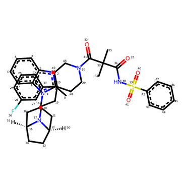 Cc1nc2ccccc2n1C1C[C@H]2CC[C@@H](C1)N2CCC1(c2cccc(F)c2)CCN(C(=O)C(C)(C)C(=O)NS(=O)(=O)c2ccccc2)CC1